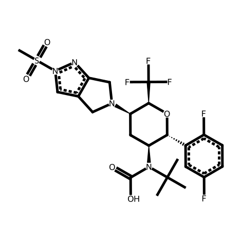 CC(C)(C)N(C(=O)O)[C@H]1C[C@@H](N2Cc3cn(S(C)(=O)=O)nc3C2)[C@@H](C(F)(F)F)O[C@@H]1c1cc(F)ccc1F